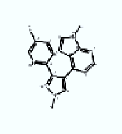 Cn1cc(-c2ccnc3c2ccn3C)c(-c2ccc(F)cn2)n1